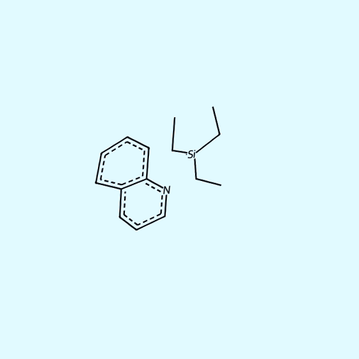 CC[Si](CC)CC.c1ccc2ncccc2c1